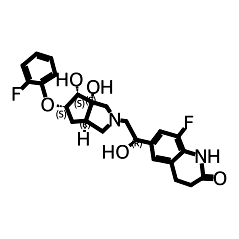 O=C1CCc2cc([C@@H](O)CN3C[C@H]4C[C@H](Oc5ccccc5F)[C@H](O)[C@@]4(O)C3)cc(F)c2N1